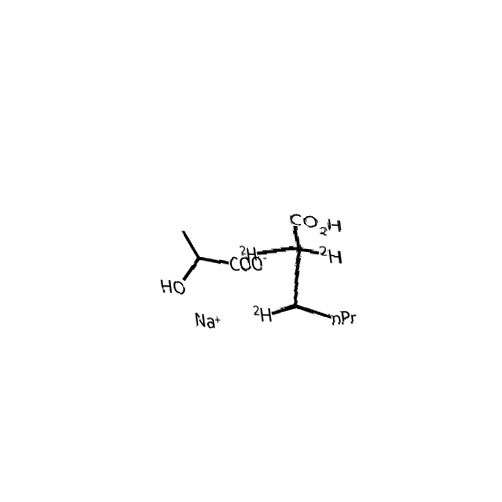 CC(O)C(=O)[O-].[2H]C(CCC)C([2H])([2H])C(=O)O.[Na+]